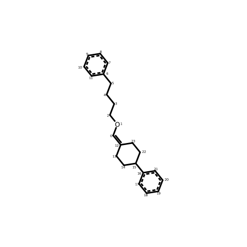 C(OCCCCc1ccccc1)=C1CCC(c2ccccc2)CC1